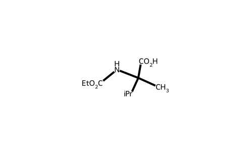 CCOC(=O)NC(C)(C(=O)O)C(C)C